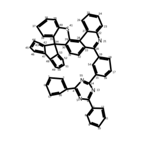 c1ccc(-c2nc(-c3ccccc3)nc(-c3cccc(-c4nc5ccccc5c5c6c(ccc45)C4(c5ccccc5S6)c5ccccc5-c5ccccc54)c3)n2)cc1